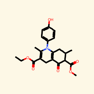 CCOC(=O)C1=C(C)N(c2ccc(O)cc2)C2=C(C1)C(=O)C(C(=O)OC)C(C)C2